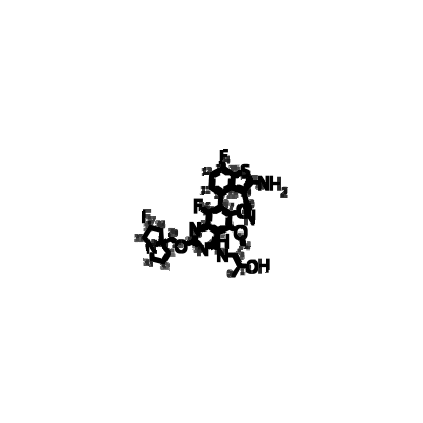 C[C@H](O)[C@H]1COc2c(Cl)c(-c3ccc(F)c4sc(N)c(C#N)c34)c(F)c3nc(OC[C@@]45CCCN4C[C@H](F)C5)nc(c23)N1